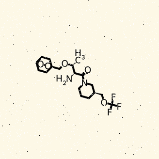 C[C@@H](OCC12CCC(CC1)OC2)[C@@H](N)C(=O)N1CCC[C@H](COC(F)(F)F)C1